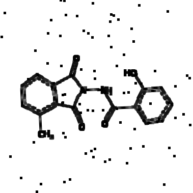 Cc1cccc2c1C(=O)N(NC(=O)c1ccccc1O)C2=O